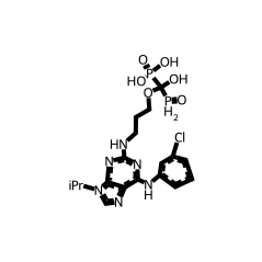 CC(C)n1cnc2c(Nc3cccc(Cl)c3)nc(NCCCOC(O)([PH2]=O)P(=O)(O)O)nc21